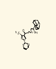 O=C(NCC(O)C12CC3CC(CC(C3)C1)C2)c1cn(-c2ncccn2)nc1C(F)(F)F